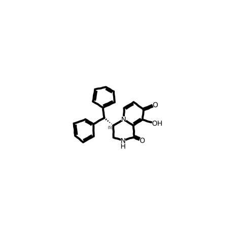 O=C1NC[C@H](C(c2ccccc2)c2ccccc2)n2ccc(=O)c(O)c21